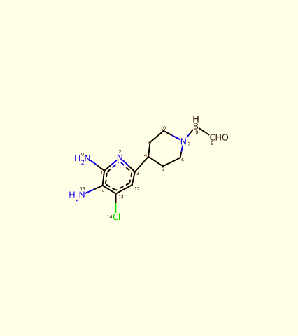 Nc1nc(C2CCN(BC=O)CC2)cc(Cl)c1N